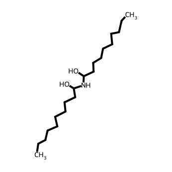 CCCCCCCCCC(O)NC(O)CCCCCCCCC